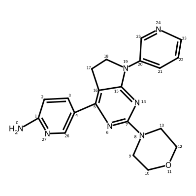 Nc1ccc(-c2nc(N3CCOCC3)nc3c2CCN3c2cccnc2)cn1